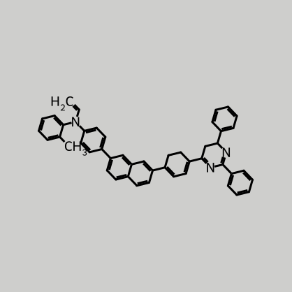 C=CN(c1ccc(-c2ccc3ccc(C4=CC=C(C5=NC(c6ccccc6)=NC(c6ccccc6)C5)CC4)cc3c2)cc1)c1ccccc1C